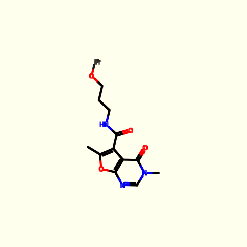 Cc1oc2ncn(C)c(=O)c2c1C(=O)NCCCOC(C)C